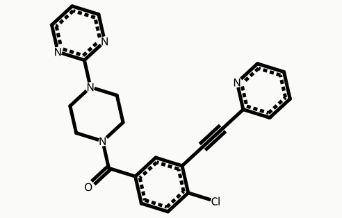 O=C(c1ccc(Cl)c(C#Cc2ccccn2)c1)N1CCN(c2ncccn2)CC1